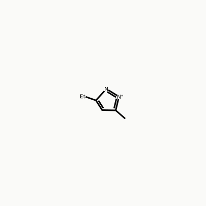 CCC1=CC(C)=[N+]=N1